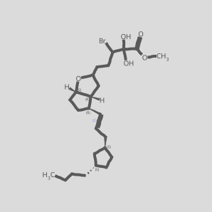 CCCC[C@H]1CC[C@H](C/C=C/[C@H]2CC[C@@H]3OC(CCC(Br)C(O)(O)C(=O)OC)C[C@@H]32)C1